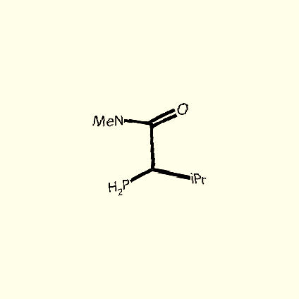 CNC(=O)C(P)C(C)C